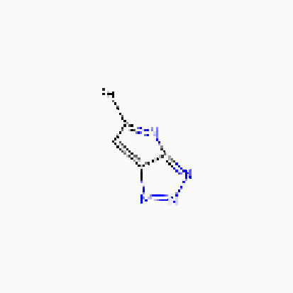 [2H]C1=NC2=NN=NC2=C1